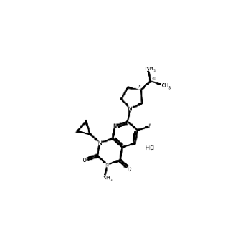 C[C@H](N)[C@@H]1CCN(c2nc3c(cc2F)c(=O)n(N)c(=O)n3C2CC2)C1.Cl